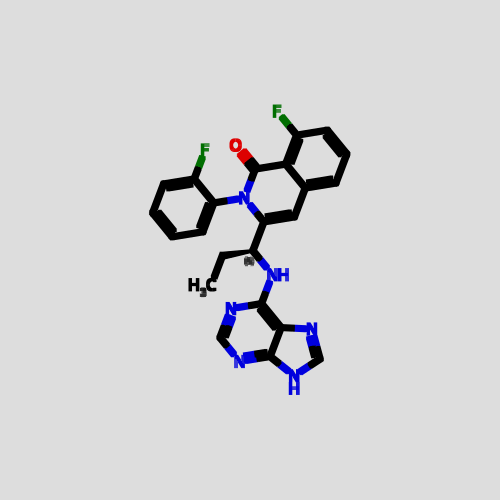 CC[C@H](Nc1ncnc2[nH]cnc12)c1cc2cccc(F)c2c(=O)n1-c1ccccc1F